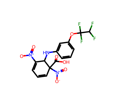 O=C(O)C1([N+](=O)[O-])C=CC=C([N+](=O)[O-])C1Nc1cccc(OC(F)(F)C(F)F)c1